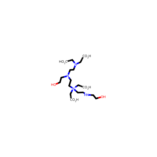 O=C(O)CN(CCN(CCO)CC[N+](CCNCCO)(CC(=O)O)CC(=O)O)CC(=O)O